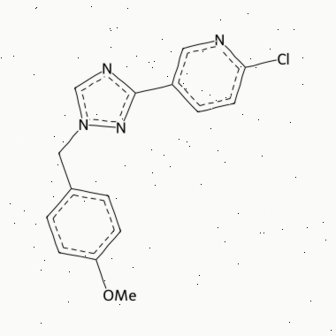 COc1ccc(Cn2cnc(-c3ccc(Cl)nc3)n2)cc1